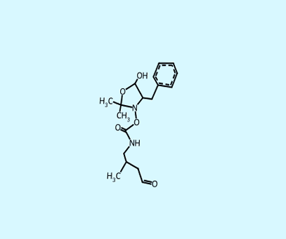 CC(CC=O)CNC(=O)ON1C(Cc2ccccc2)C(O)OC1(C)C